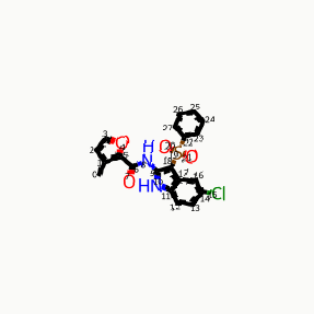 Cc1ccoc1C(=O)Nc1[nH]c2ccc(Cl)cc2c1S(=O)(=O)c1ccccc1